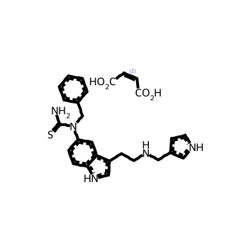 NC(=S)N(Cc1ccccc1)c1ccc2[nH]cc(CCNCc3cc[nH]c3)c2c1.O=C(O)/C=C\C(=O)O